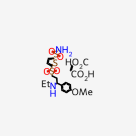 CCNC(CCS(=O)(=O)c1ccc(S(N)(=O)=O)s1)c1ccc(OC)cc1.O=C(O)C=CC(=O)O